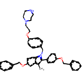 Cc1c(-c2ccc(OCc3ccccc3)cc2)n(Cc2ccc(OCCN3CCNCC3)cc2)c2ccc(OCc3ccccc3)cc12